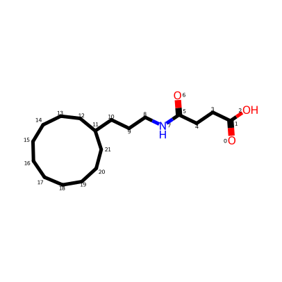 O=C(O)CCC(=O)NCCCC1CCCCCCCCCC1